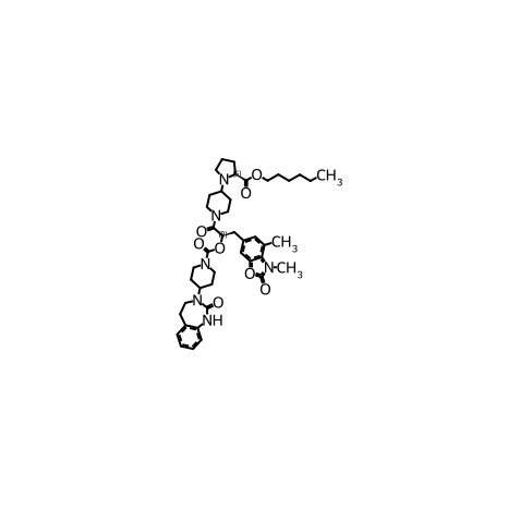 CCCCCCOC(=O)[C@@H]1CCCN1C1CCN(C(=O)[C@@H](Cc2cc(C)c3c(c2)oc(=O)n3C)OC(=O)N2CCC(N3CCc4ccccc4NC3=O)CC2)CC1